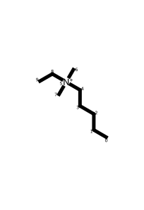 CCCCC[N+](C)(C)CC